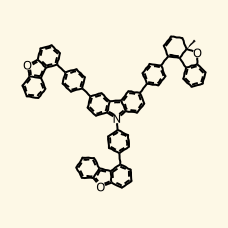 C[C@]12CC=CC(c3ccc(-c4ccc5c(c4)c4cc(-c6ccc(-c7cccc8oc9ccccc9c78)cc6)ccc4n5-c4ccc(-c5cccc6oc7ccccc7c56)cc4)cc3)=C1c1ccccc1O2